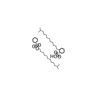 CC(C)CCCCCCCCCCOS(=O)(=O)c1ccccc1.CC(C)CCCCCCCCCCc1ccccc1S(=O)(=O)O